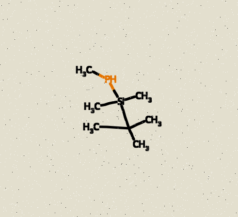 CP[Si](C)(C)C(C)(C)C